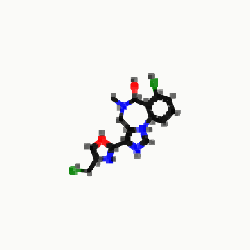 CN1Cc2c(-c3nc(CCl)co3)ncn2-c2cccc(Cl)c2C1=O